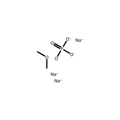 COC.O=P([O-])([O-])[O-].[Na+].[Na+].[Na+]